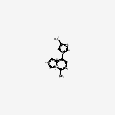 Cc1cn(-c2cnc(N)n3cncc23)cn1